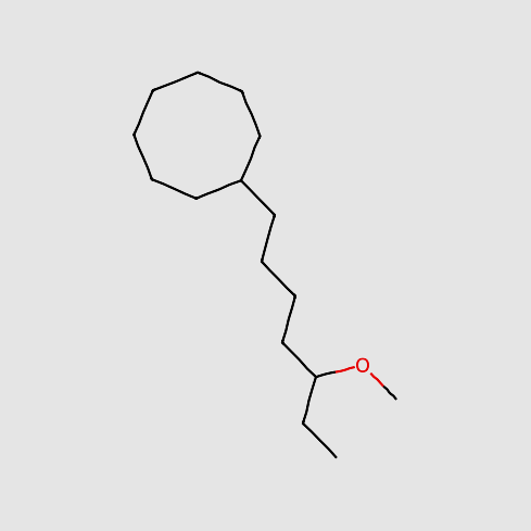 CCC(CCCCC1CCCCCCC1)OC